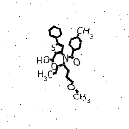 CCCC(CCCOCC)N(C(=O)C1CCC(C)CC1)c1cc(C2=CCCCC2)sc1C(=O)O